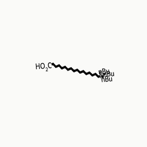 CCCC[N+](CCCC)(CCCC)CCCCCCCCCCCCCCCCC(=O)O